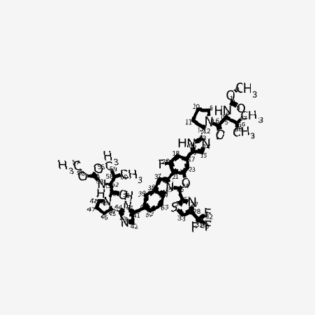 COC(=O)N[C@H](C(=O)N1CCC[C@H]1c1ncc(-c2cc(F)c3c(c2)OC(c2nc(C(F)(F)F)cs2)n2c-3cc3cc(-c4cnc([C@@H]5CCCN5C(=O)[C@@H](NC(=O)OC)C(C)C)[nH]4)ccc32)[nH]1)C(C)C